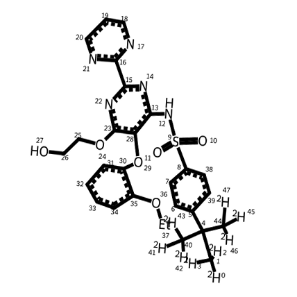 [2H]C([2H])([2H])C(c1ccc(S(=O)(=O)Nc2nc(-c3ncccn3)nc(OCCO)c2Oc2ccccc2OCC)cc1)(C([2H])([2H])[2H])C([2H])([2H])[2H]